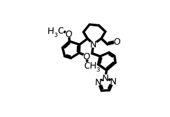 COc1cccc(OC)c1C1CCCCC(C=O)N1Cc1cccc(-n2nccn2)c1